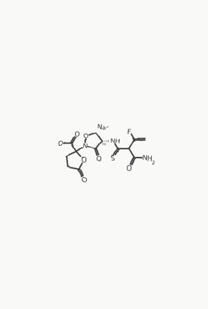 C=C(F)C(C(N)=O)C(=S)N[C@H]1CON(C2(C(=O)[O-])CCC(=O)O2)C1=O.[Na+]